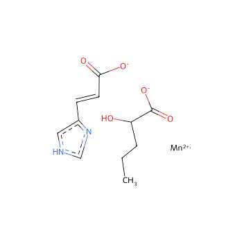 CCCC(O)C(=O)[O-].O=C([O-])C=Cc1c[nH]cn1.[Mn+2]